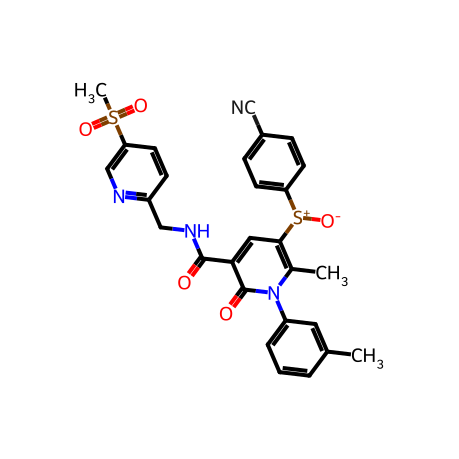 Cc1cccc(-n2c(C)c([S+]([O-])c3ccc(C#N)cc3)cc(C(=O)NCc3ccc(S(C)(=O)=O)cn3)c2=O)c1